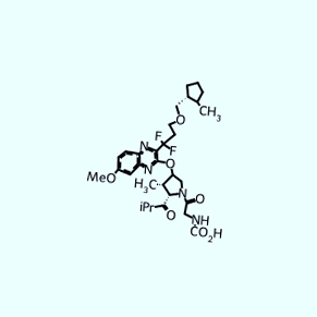 COc1ccc2nc(C(F)(F)CCOC[C@@H]3CCCC3C)c(OC3CN(C(=O)CNC(=O)O)[C@H](C(=O)C(C)C)[C@@H]3C)nc2c1